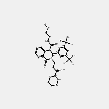 COCCNC(=O)C1c2ccccc2C(=O)N(CCC(=O)N2CCCCC2)C1c1cc(C(F)(F)F)cc(C(F)(F)F)c1